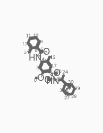 COc1cc(NC(=O)c2ccccc2C)c(C)cc1S(=O)(=O)NC(C)C1CC2CCC1CC2